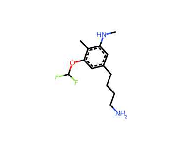 CNc1cc(CCCCN)cc(OC(F)F)c1C